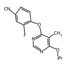 [C-]#[N+]c1ccc(Oc2ncnc(OC(C)C)c2C)c(F)c1